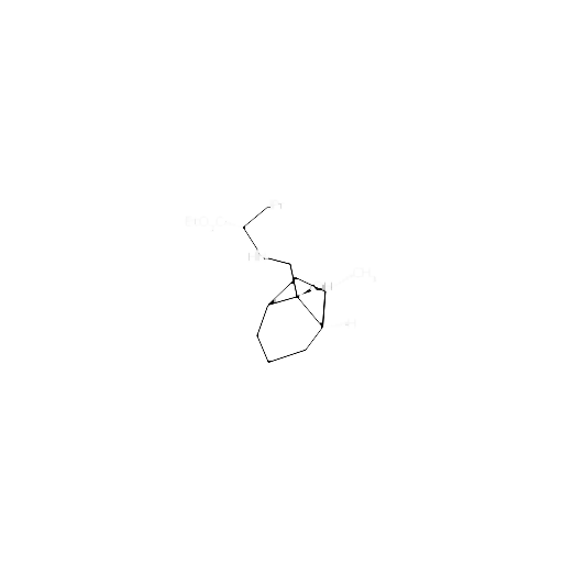 CCOC(=O)[C@@H](NC[C@@]1(O)C2CCC[C@@H]1[C@@H](C)C2)C(C)C